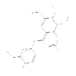 COc1cc(Cc2nc(N)nc3c(OC)c(OC)c(OC)cc23)ccc1O